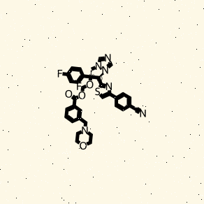 C[C@@H](c1nc(-c2ccc(C#N)cc2)cs1)[C@@](Cn1cncn1)(OCOC(=O)c1cccc(CN2CCOCC2)c1)c1ccc(F)cc1F